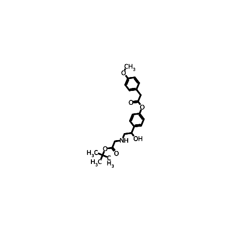 COc1ccc(CC(=O)Oc2ccc(C(O)CNCC(=O)OC(C)(C)C)cc2)cc1